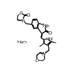 Cc1[nH]c(C=C2C(=O)Nc3ccc(CN4CCOC4=O)cc32)c(C)c1CN1CCOCC1.Cl